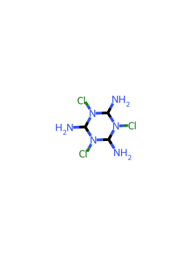 NC1N(Cl)C(N)N(Cl)C(N)N1Cl